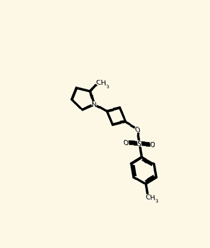 Cc1ccc(S(=O)(=O)OC2CC(N3CCCC3C)C2)cc1